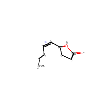 CCCCCCCC/C=C\C1CCC(=O)O1